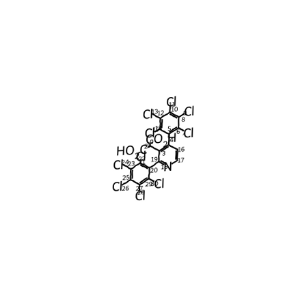 O=C(O)C(C(=O)O)c1c(-c2c(Cl)c(Cl)c(Cl)c(Cl)c2Cl)ccnc1-c1c(Cl)c(Cl)c(Cl)c(Cl)c1Cl